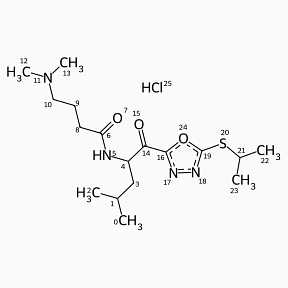 CC(C)CC(NC(=O)CCCN(C)C)C(=O)c1nnc(SC(C)C)o1.Cl